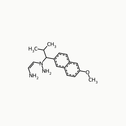 COc1ccc2cc(C(C(C)C)N(N)/C=C\N)ccc2c1